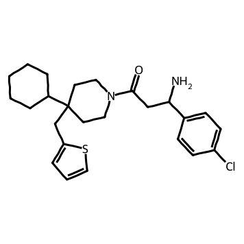 NC(CC(=O)N1CCC(Cc2cccs2)(C2CCCCC2)CC1)c1ccc(Cl)cc1